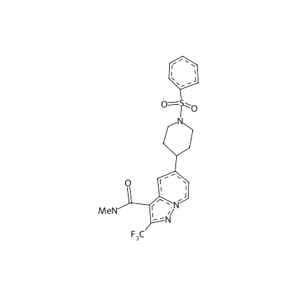 CNC(=O)c1c(C(F)(F)F)nn2ccc(C3CCN(S(=O)(=O)c4ccccc4)CC3)cc12